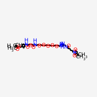 CC(C)C1CC(=O)N(CCCCCC(=O)NCc2cn(CCOCCOCCOCCOCCOCCNC(=O)COCC(=O)Nc3ccc(COC(=O)C(C)(C)C)cc3)nn2)C1=O